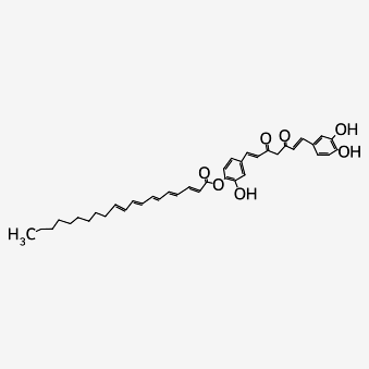 CCCCCCCCCC=CC=CC=CC=CC=CC(=O)Oc1ccc(C=CC(=O)CC(=O)C=Cc2ccc(O)c(O)c2)cc1O